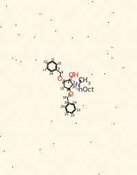 CCCCCCCCN(C)[C@@H]1[C@@H](O)[C@@H](OCc2ccccc2)C[C@H]1OCc1ccccc1